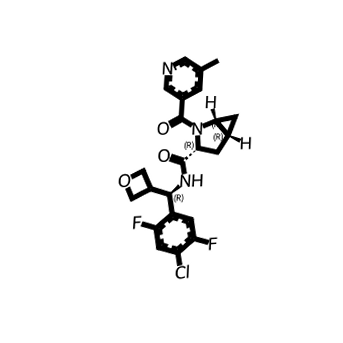 Cc1cncc(C(=O)N2[C@@H](C(=O)N[C@@H](c3cc(F)c(Cl)cc3F)C3COC3)C[C@H]3C[C@H]32)c1